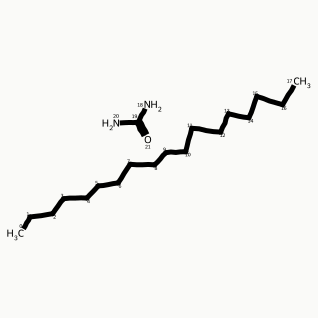 CCCCCCCCCCCCCCCCCC.NC(N)=O